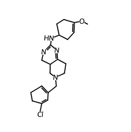 COC1=CCC(NC2=NCC3CN(CC4=CCCC(Cl)=C4)CCC3=N2)CC1